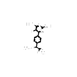 COC(=O)C(OC)c1ccc(-c2nc(N)nc(N)c2F)cc1